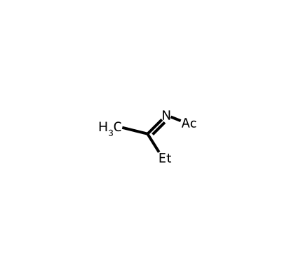 CC/C(C)=N\C(C)=O